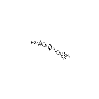 CC1(OC(=O)N2CCC(COc3cnc(N4CCN(S(=O)(=O)CCO)CC4)cn3)CC2)CC1